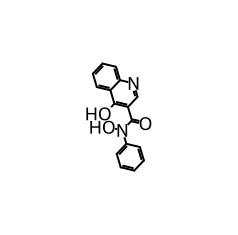 O=C(c1cnc2ccccc2c1O)N(O)c1ccccc1